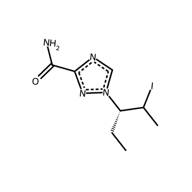 CC[C@@H](C(C)I)n1cnc(C(N)=O)n1